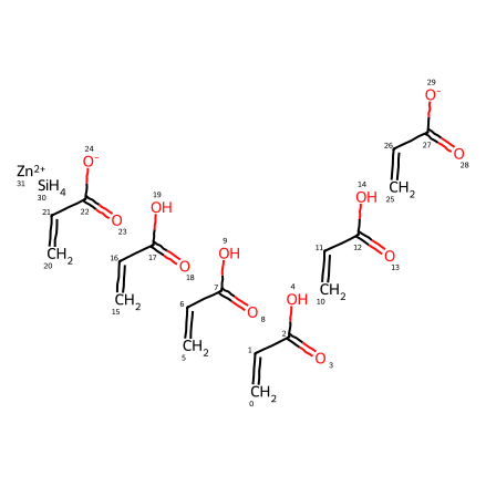 C=CC(=O)O.C=CC(=O)O.C=CC(=O)O.C=CC(=O)O.C=CC(=O)[O-].C=CC(=O)[O-].[SiH4].[Zn+2]